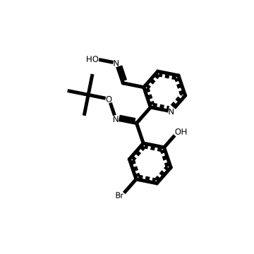 CC(C)(C)ON=C(c1cc(Br)ccc1O)c1ncccc1C=NO